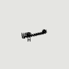 O=CCC[C@H](NC(=O)CCCCCCCCCCCc1ccccc1)C(=O)O